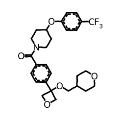 O=C(c1ccc(C2(OCC3CCOCC3)COC2)cc1)N1CCC(Oc2ccc(C(F)(F)F)cc2)CC1